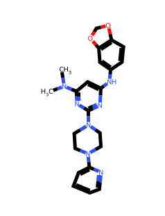 CN(C)c1cc(Nc2ccc3c(c2)OCO3)nc(N2CCN(c3ccccn3)CC2)n1